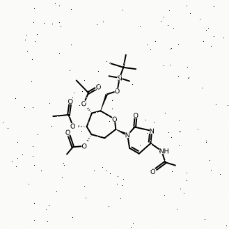 CC(=O)Nc1ccn([C@H]2C[C@H](OC(C)=O)[C@H](OC(C)=O)[C@H](OC(C)=O)[C@@H](CO[Si](C)(C)C(C)(C)C)O2)c(=O)n1